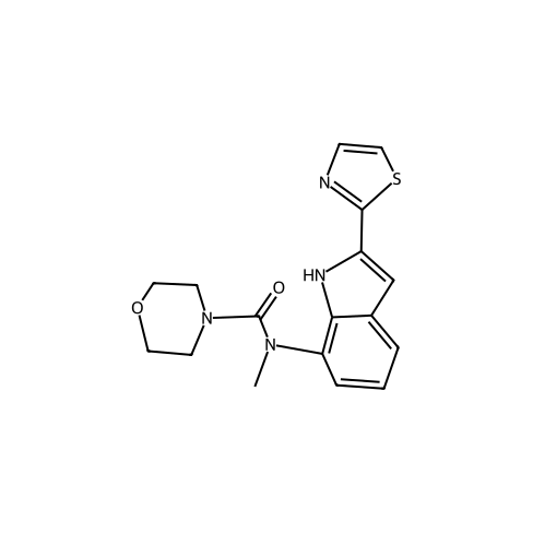 CN(C(=O)N1CCOCC1)c1cccc2cc(-c3nccs3)[nH]c12